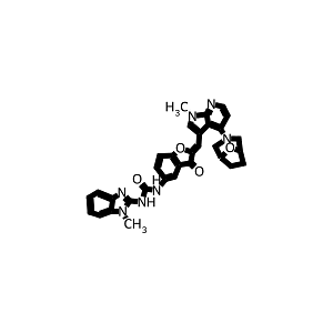 Cn1cc(/C=C2\Oc3ccc(NC(=O)Nc4nc5ccccc5n4C)cc3C2=O)c2c(N3CC4CCC(C3)O4)ccnc21